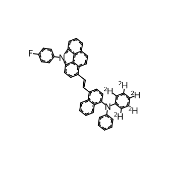 [2H]c1c([2H])c([2H])c(N(c2ccccc2)c2ccc(/C=C/c3ccc4c5c3ccc3cccc(c35)n4-c3ccc(F)cc3)c3ccccc23)c([2H])c1[2H]